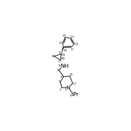 CC(C)N1CCC(CN[C@@H]2C[C@H]2c2ccccc2)CC1